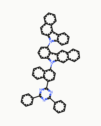 c1ccc(-c2nc(-c3ccccc3)nc(-c3ccc(-n4c5cc6ccccc6cc5c5c(-n6c7ccccc7c7c8ccccc8ccc76)cccc54)c4ccccc34)n2)cc1